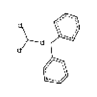 ClC(Cl)Cl.c1ccc(Cc2ccccc2)cc1